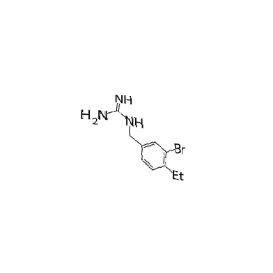 CCc1ccc(CNC(=N)N)cc1Br